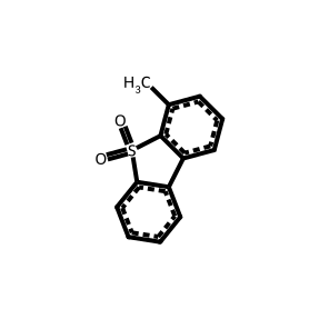 Cc1cccc2c1S(=O)(=O)c1ccccc1-2